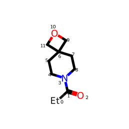 CCC(=O)N1CCC2(CC1)COC2